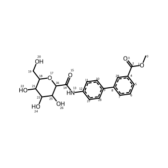 COC(=O)c1cccc(-c2ccc(NC(=O)C3OC(CO)C(O)C(O)C3O)cc2)c1